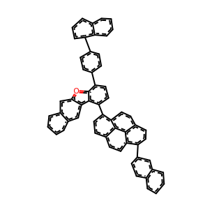 c1ccc2cc(-c3ccc4ccc5c(-c6ccc(-c7ccc(-c8cccc9ccccc89)cc7)c7oc8cc9ccccc9cc8c67)ccc6ccc3c4c65)ccc2c1